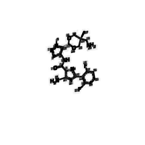 Cn1ncc(NC(=O)c2nc(-c3c(F)cccc3F)sc2N)c1[C@H]1OC[C@@](C)(CN)CO1